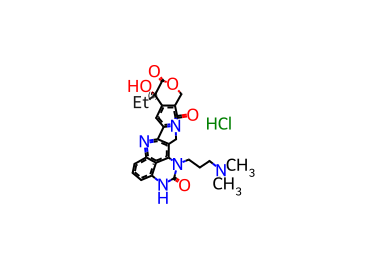 CC[C@@]1(O)C(=O)OCc2c1cc1n(c2=O)Cc2c-1nc1cccc3c1c2N(CCCN(C)C)C(=O)N3.Cl